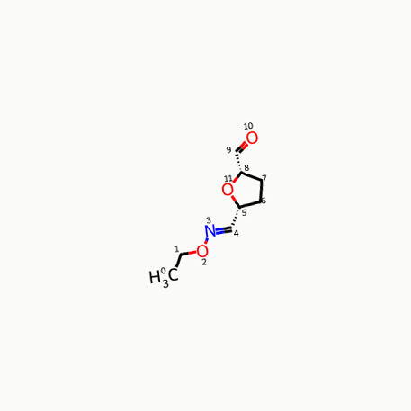 CCON=C[C@H]1CC[C@@H](C=O)O1